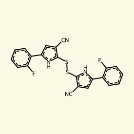 N#Cc1cc(-c2ccccc2F)[nH]c1SSc1[nH]c(-c2ccccc2F)cc1C#N